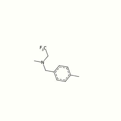 Cc1ccc(CN(C)CC(F)(F)F)cc1